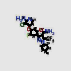 Cc1ccc(-n2nc(-c3ccc(Oc4ccnc(N)c4Cl)c(F)c3)c(C(N)=O)c2C(F)(F)F)cc1